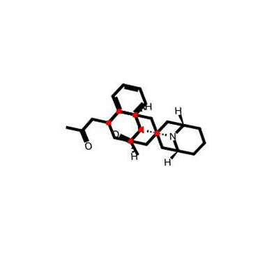 CC(=O)CCc1ccccc1N(C(C)=O)[C@H]1C[C@H]2CCC[C@@H](C1)N2[C@H]1C[C@@H]2CCC[C@@H](C2)C1